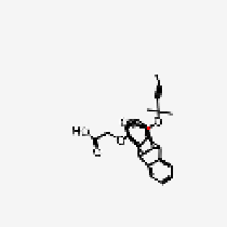 CC#CC(C)(C)OC(=O)C1C2c3ccccc3C(c3ccccc32)C1C(=O)OCC(=O)O